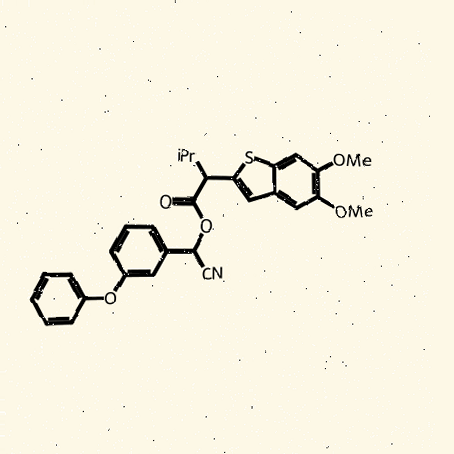 COc1cc2cc(C(C(=O)OC(C#N)c3cccc(Oc4ccccc4)c3)C(C)C)sc2cc1OC